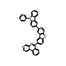 c1ccc(-n2c3ccccc3c3cc(-c4ccc5oc6ccc(-c7nc8cnccc8c8ccccc78)cc6c5c4)ccc32)cc1